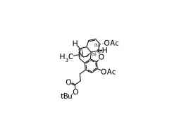 CC(=O)Oc1cc(CCC(=O)OC(C)(C)C)c2c3c1O[C@H]1[C@@H](OC(C)=O)C=CC4[C@@H](C2)N(C)CC[C@@]341